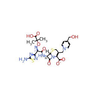 CC(C)(O/N=C(\C(=O)N[C@@H]1C(=O)N2C(C(=O)[O-])=C(C[n+]3ccc(CO)cc3)CS[C@H]12)c1nsc(N)n1)C(=O)O